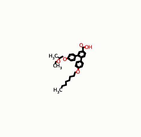 CCCCCCCCOc1ccc(-c2ccc(C(=O)O)cc2-c2ccc(OC[C@H](C)OCC)cc2)cc1